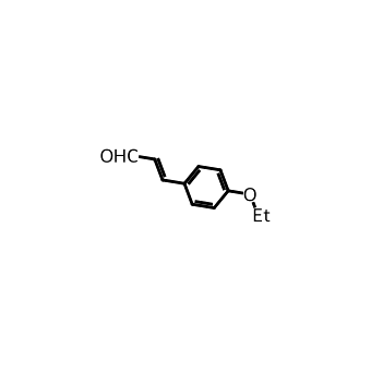 CCOc1ccc(/C=C/C=O)cc1